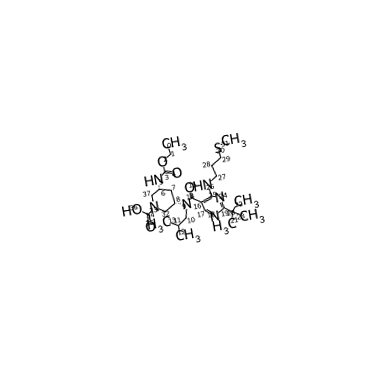 CCOC(=O)N[C@@H]1C[C@H](N(CC(C)C)C(=O)c2cnc(C(C)(C)C)nc2NCCCSC)CN(C(=O)O)C1